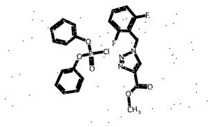 COC(=O)c1cn(Cc2c(F)cccc2F)nn1.O=P(Cl)(Oc1ccccc1)Oc1ccccc1